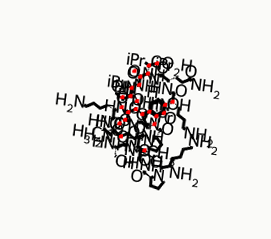 CC[C@H](C)[C@H](NC(=O)[C@H](CC(C)C)NC(=O)[C@H](CCC(N)=O)NC(=O)[C@H](CCCCN)NC(=O)[C@@H]1CCCN1C(=O)[C@@H]1CCCN1C(=O)[C@H](CCC(N)=O)NC(=O)CNC(=O)[C@@H]1CCCN1C(=O)[C@@H](N)CCCCN)C(=O)N[C@@H](Cc1ccc(O)cc1)C(=O)N[C@@H](CCCCN)C(=O)N[C@@H](C)C(=O)N[C@@H](CO)C(=O)N[C@H](C(=O)N[C@@H](CC(C)C)C(=O)N[C@@H](C)C(=O)N[C@@H](CO)C(=O)NCC(=O)N[C@H](C(=O)O)C(C)C)[C@@H](C)O